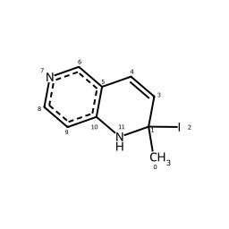 CC1(I)C=Cc2cnccc2N1